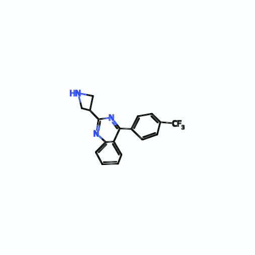 FC(F)(F)c1ccc(-c2nc(C3CNC3)nc3ccccc23)cc1